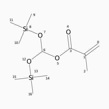 C=C(C)C(=O)OC(O[Si](C)(C)C)O[Si](C)(C)C